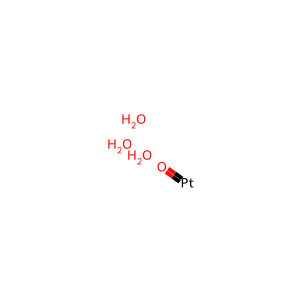 O.O.O.[O]=[Pt]